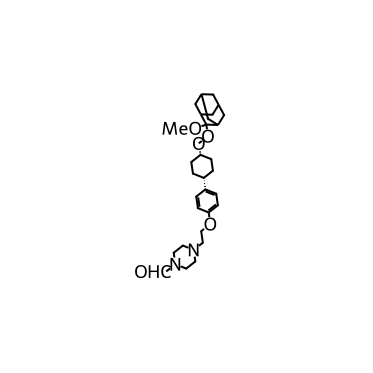 COC1(OO[C@H]2CC[C@@H](c3ccc(OCCN4CCN(C=O)CC4)cc3)CC2)C2CC3CC(C2)CC1C3